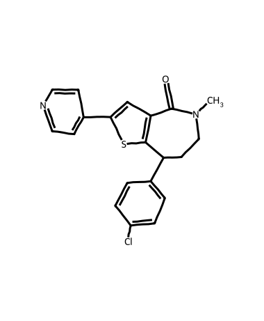 CN1CCC(c2ccc(Cl)cc2)c2sc(-c3ccncc3)cc2C1=O